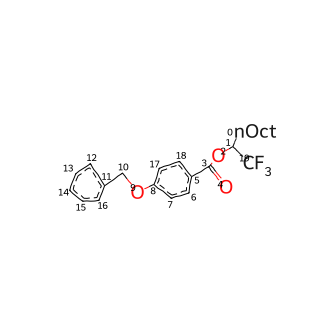 CCCCCCCCC(OC(=O)c1ccc(OCc2ccccc2)cc1)C(F)(F)F